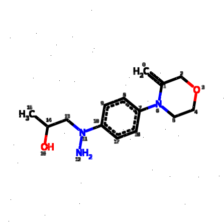 C=C1COCCN1c1ccc(N(N)CC(C)O)cc1